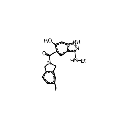 CCNc1n[nH]c2cc(O)c(C(=O)N3Cc4ccc(F)cc4C3)cc12